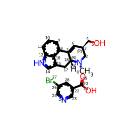 CN1C[C@H](CO)C=C2c3cccc4[nH]cc(c34)C[C@H]21.O=C(O)c1cncc(Br)c1